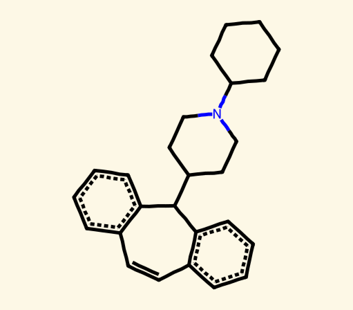 C1=Cc2ccccc2C(C2CCN(C3CCCCC3)CC2)c2ccccc21